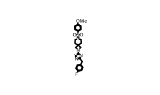 COc1ccc(S(=O)(=O)N2CCC3(CC2)CN(c2nc(Cc4ccc(F)cc4)ns2)C3)cc1